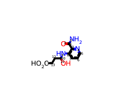 NC(=O)c1ncccc1NC(O)CCC(=O)O